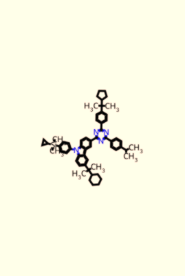 CC(C)c1ccc(-c2nc(-c3ccc(C(C)(C)C4CCCC4)cc3)nc(-c3ccc4c(c3)c3cc(C(C)(C)C5CCCCC5)ccc3n4-c3ccc([Si](C)(C)C4CC4)cc3)n2)cc1